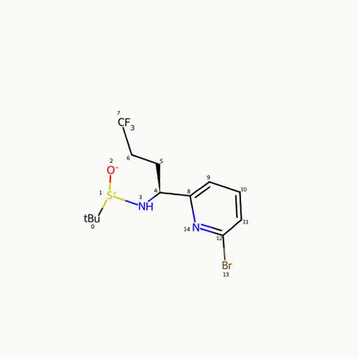 CC(C)(C)[S+]([O-])N[C@@H](CCC(F)(F)F)c1cccc(Br)n1